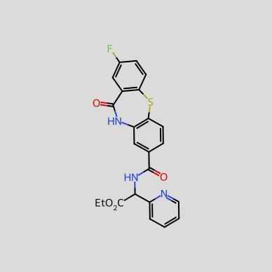 CCOC(=O)C(NC(=O)c1ccc2c(c1)NC(=O)c1cc(F)ccc1S2)c1ccccn1